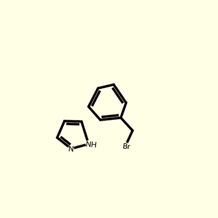 BrCc1ccccc1.c1cn[nH]c1